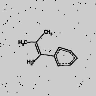 CC(C)=C(P)c1ccccc1